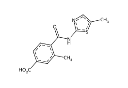 Cc1cnc(NC(=O)c2ccc(C(=O)O)cc2C)s1